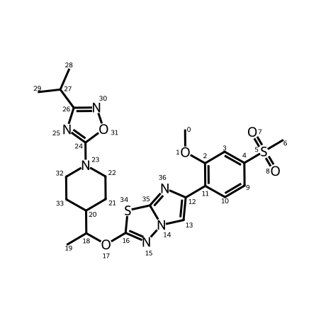 COc1cc(S(C)(=O)=O)ccc1-c1cn2nc(OC(C)C3CCN(c4nc(C(C)C)no4)CC3)sc2n1